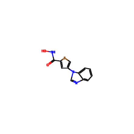 O=C(NO)c1cc(-n2cnc3ccccc32)cs1